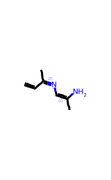 C=C/C(C)=N\C=C(\C)N